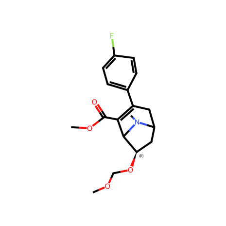 COCO[C@@H]1CC2CC(c3ccc(F)cc3)=C(C(=O)OC)C1N2C